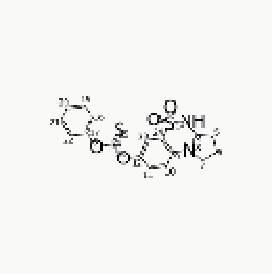 O=S1(=O)NC2CCCN2c2ccc(OC(=S)Oc3ccccc3)cc21